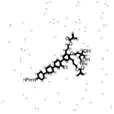 C=C(C)C(=O)OCCCc1cc(-c2ccc(-c3ccc(C4CCC(CCCCC)CC4)cc3)cc2CC)cc(CCCOC(=O)C(=C)C)c1OCCC(CO)(CO)CCC(C)(C)C